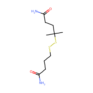 CC(C)(CCC(N)=O)SSCCCC(N)=O